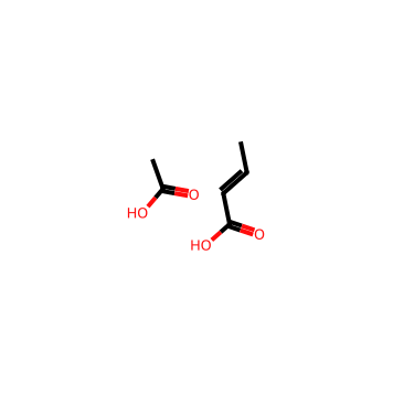 CC(=O)O.CC=CC(=O)O